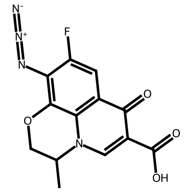 CC1COc2c(N=[N+]=[N-])c(F)cc3c(=O)c(C(=O)O)cn1c23